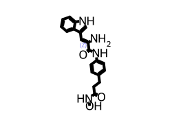 N/C(=C\c1c[nH]c2ccccc12)C(=O)Nc1ccc(CCC(=O)NO)cc1